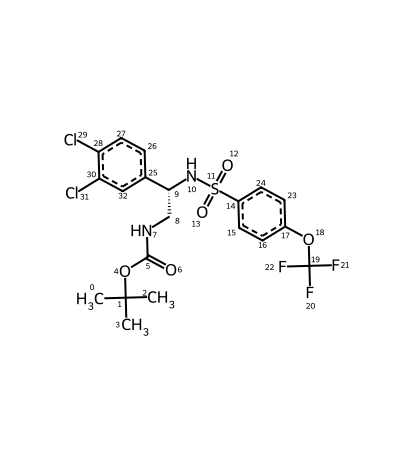 CC(C)(C)OC(=O)NC[C@@H](NS(=O)(=O)c1ccc(OC(F)(F)F)cc1)c1ccc(Cl)c(Cl)c1